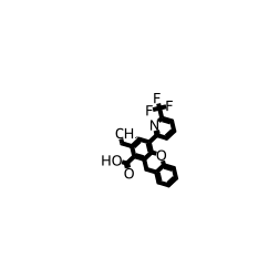 CCc1cc(-c2cccc(C(F)(F)F)n2)c2c(c1C(=O)O)Cc1ccccc1O2